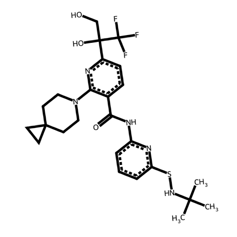 CC(C)(C)NSc1cccc(NC(=O)c2ccc(C(O)(CO)C(F)(F)F)nc2N2CCC3(CC2)CC3)n1